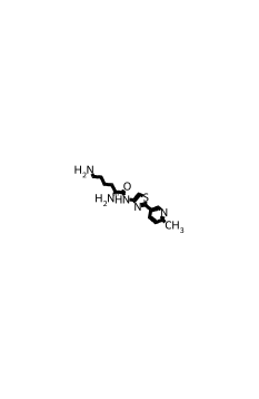 Cc1ccc(-c2nc(NC(=O)[C@@H](N)CCCCN)cs2)cn1